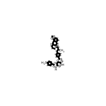 Cc1ccc(C(=O)O[C@@H](C(=O)O)[C@@H](OC(=O)c2ccc(CC(C)CN3CCC[C@@H]4Cc5c(ccc6c5OCO6)C[C@H]43)cc2)C(=O)O)cc1